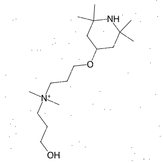 CC1(C)CC(OCCC[N+](C)(C)CCCO)CC(C)(C)N1